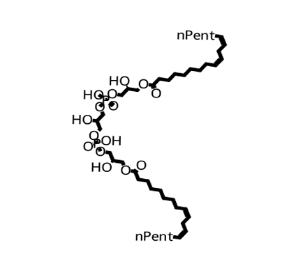 CCCCC/C=C\C/C=C\CCCCCCCC(=O)OC[C@@H](O)COP(=O)(O)OCC(O)COP(=O)(O)OC[C@H](O)COC(=O)CCCCCCC/C=C\C/C=C\CCCCC